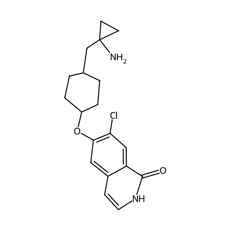 NC1(CC2CCC(Oc3cc4cc[nH]c(=O)c4cc3Cl)CC2)CC1